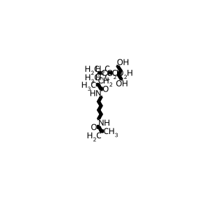 C=C(C)C(=O)NCCCCCCNC(=O)C(=C)C.C=C(C)C(=O)O.C=C(C)C(=O)O.OCCCCO